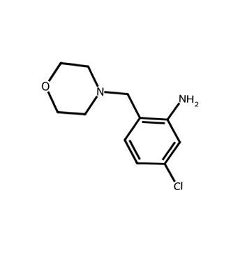 Nc1cc(Cl)ccc1CN1CCOCC1